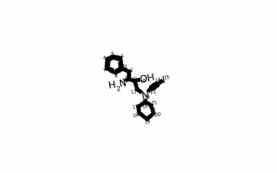 NC(Cc1ccccc1)C(O)CN(C#CI)C1CCCCC1